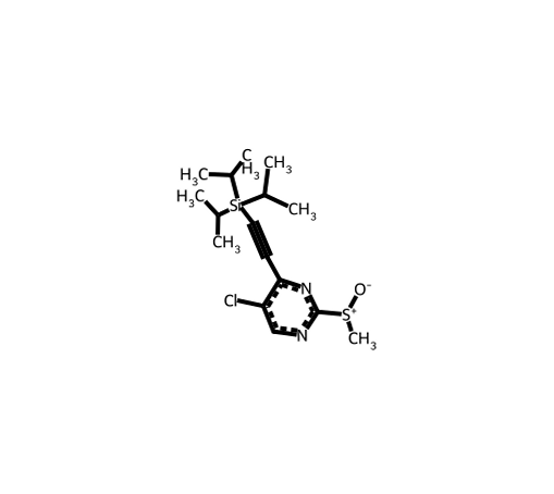 CC(C)[Si](C#Cc1nc([S+](C)[O-])ncc1Cl)(C(C)C)C(C)C